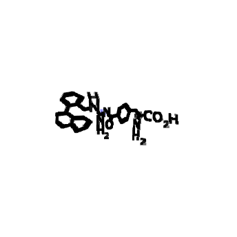 N/C(=N\C(=O)c1ccc(C[C@H](N)C(=O)O)cc1)NCc1ccccc1-c1cccc2ccccc12